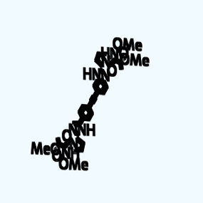 COC(=O)N[C@H](C(=O)N1CCC[C@H]1c1ncc(-c2ccc(C#Cc3ccc4nc([C@@H]5CCCN5C(=O)[C@@H](NC(=O)OC)[C@@H](C)OC)[nH]c4c3)cc2)[nH]1)[C@@H](C)OC